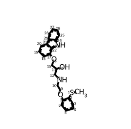 CSc1ccccc1OCCNCC(O)COc1cccc2c1[nH]c1ccccc12